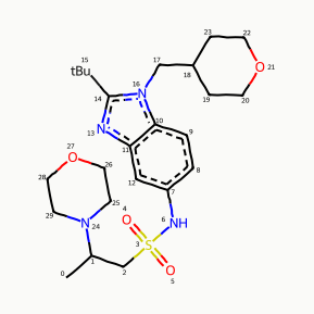 CC(CS(=O)(=O)Nc1ccc2c(c1)nc(C(C)(C)C)n2CC1CCOCC1)N1CCOCC1